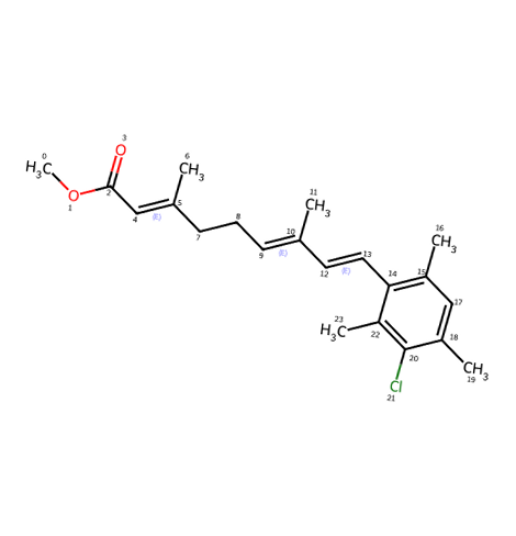 COC(=O)/C=C(\C)CC/C=C(C)/C=C/c1c(C)cc(C)c(Cl)c1C